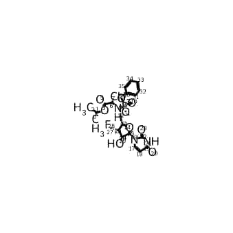 CC(C)OC(=O)C(C)NP(=O)(OC[C@H]1O[C@@H](n2ccc(=O)[nH]c2=O)[C@H](O)[C@@H]1CF)Oc1ccccc1